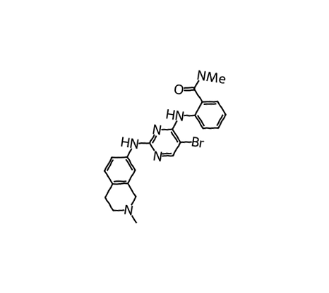 CNC(=O)c1ccccc1Nc1nc(Nc2ccc3c(c2)CN(C)CC3)ncc1Br